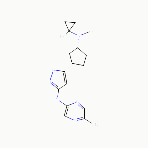 CC1(N(C(=O)O)[C@@H]2CC[C@H](c3cc(Nc4cnc(C#N)cn4)n[nH]3)C2)CC1